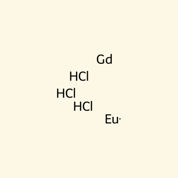 Cl.Cl.Cl.[Eu].[Gd]